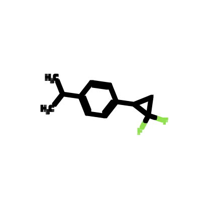 CC(C)c1ccc(C2CC2(F)F)cc1